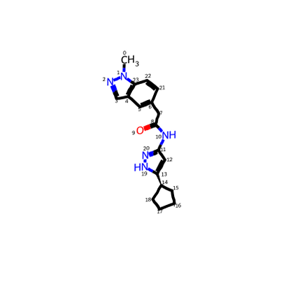 Cn1ncc2cc(CC(=O)Nc3cc([C@H]4C[CH]CC4)[nH]n3)ccc21